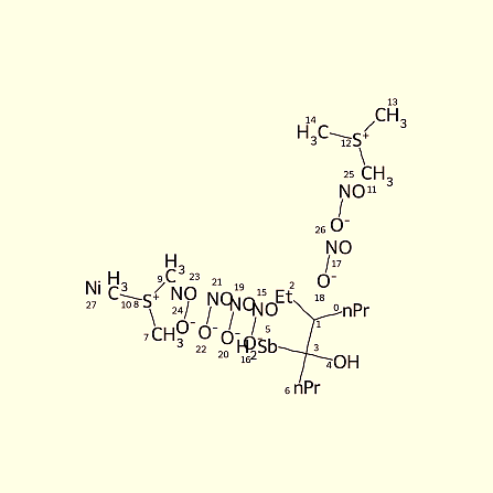 CCCC(CC)[C](O)([SbH2])CCC.C[S+](C)C.C[S+](C)C.O=N[O-].O=N[O-].O=N[O-].O=N[O-].O=N[O-].O=N[O-].[Ni]